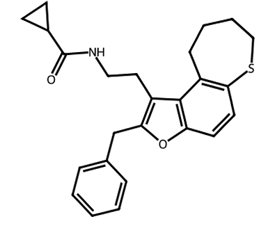 O=C(NCCc1c(Cc2ccccc2)oc2ccc3c(c12)CCCCS3)C1CC1